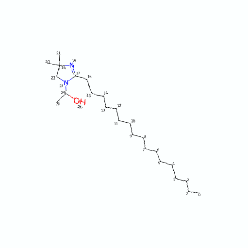 CCCCCCCCCCCCCCCCCC1=NC(C)(C)CN1C(C)O